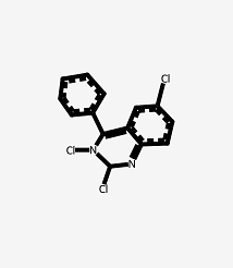 Clc1ccc2c(c1)=C(c1ccccc1)N(Cl)C(Cl)N=2